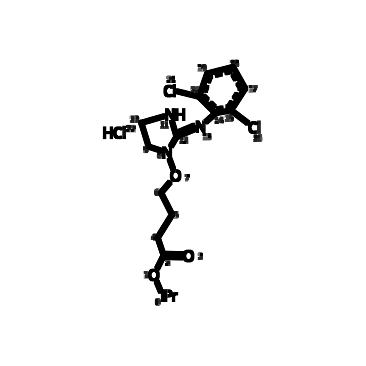 CC(C)OC(=O)CCCON1CCN/C1=N\c1c(Cl)cccc1Cl.Cl